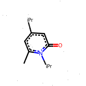 Cc1cc(C(C)C)cc(=O)n1C(C)C